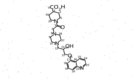 O=C(O)C1CCN(C(=O)CN2CCN(CC(O)COc3cccc4ncccc34)CC2)CC1